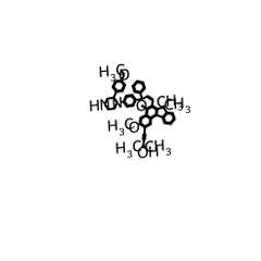 COc1ccc(C2CNCCN2c2ccc(C3(c4ccccc4)C=Cc4c5c(c6cc(C#CC(C)(C)O)c(OC)cc6c4O3)-c3ccccc3C5(C)C)cc2)cc1